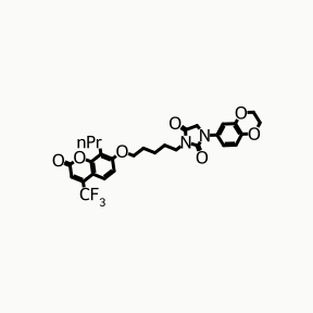 CCCc1c(OCCCCCN2C(=O)CN(c3ccc4c(c3)OCCO4)C2=O)ccc2c(C(F)(F)F)cc(=O)oc12